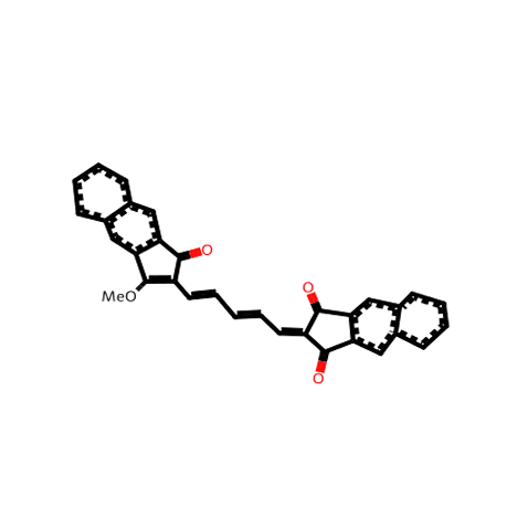 COC1=C(/C=C/C=C/C=C2C(=O)c3cc4ccccc4cc3C2=O)C(=O)c2cc3ccccc3cc21